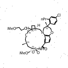 CCCc1cc(Cl)ccc1[C@]1(C)COc2ccc3cc2N(C[C@@H]2CC[C@H]2[C@@H](OCCOC)CC[C@H](C)C[C@@H](COC)S(=O)(=O)NC3=O)C1